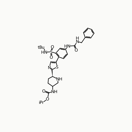 CC(C)OC(=O)NC1CC[C@@H](c2ncc(-c3ccc(NC(=O)NCc4ccccc4)cc3S(=O)(=O)NC(C)(C)C)s2)NC1